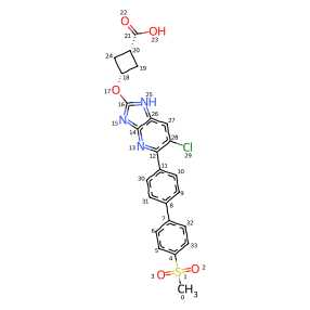 CS(=O)(=O)c1ccc(-c2ccc(-c3nc4nc(O[C@H]5C[C@@H](C(=O)O)C5)[nH]c4cc3Cl)cc2)cc1